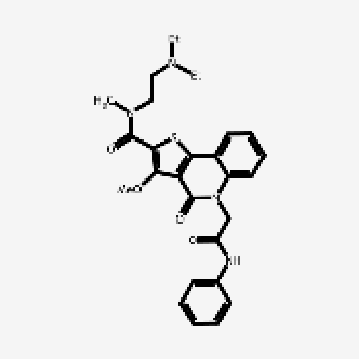 CCN(CC)CCN(C)C(=O)c1sc2c(c1OC)c(=O)n(CC(=O)Nc1ccccc1)c1ccccc21